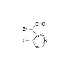 O=CC(Br)c1cnccc1Cl